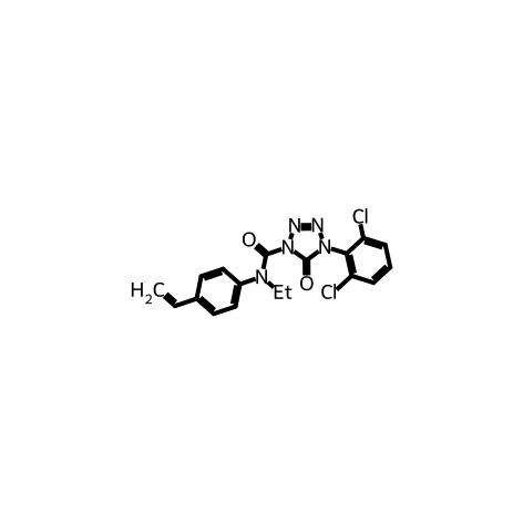 C=Cc1ccc(N(CC)C(=O)n2nnn(-c3c(Cl)cccc3Cl)c2=O)cc1